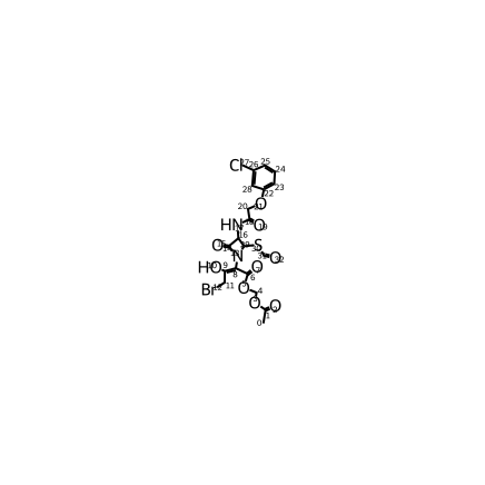 CC(=O)OCOC(=O)C(=C(O)CBr)N1C(=O)C(NC(=O)COc2cccc(Cl)c2)C1SC=O